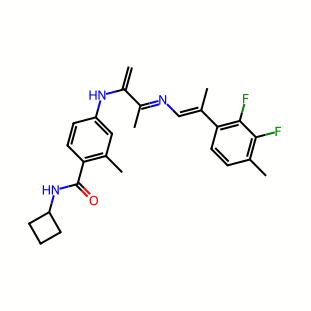 C=C(Nc1ccc(C(=O)NC2CCC2)c(C)c1)/C(C)=N/C=C(\C)c1ccc(C)c(F)c1F